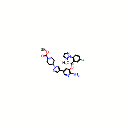 C[C@@H](Oc1cc(-c2cnn(C3CCN(C(=O)OC(C)(C)C)CC3)c2)cnc1N)c1cc(F)ccc1-n1nccn1